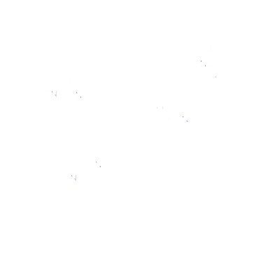 CCCc1nc2c(C)cc(-c3nc4ccccc4n3C)cc2n1Cc1ccc(-c2ccccc2C(=O)NC2CC(C)(C)N(O)C(C)(C)C2)cc1